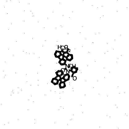 C=CC1=C(C=C)C2(c3ccccc31)c1ccccc1-c1ccc(N(C)C(=O)N(c3ccc4c(c3)C3(c5ccccc5-c5ccccc53)c3ccccc3-4)c3ccccc3C=O)cc12